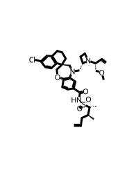 C=CC[C@H](C)[C@@H](C)S(=O)(=O)NC(=O)c1ccc2c(c1)N(C[C@@H]1CCN1[C@H](C=C)COC)C[C@@]1(CCCc3cc(Cl)ccc31)CO2